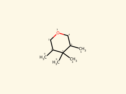 CC1COCC(C)C1(C)C